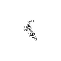 CCCCOC(=O)N(C)C1CCC(c2ccc(CCCO)cc2CNC)CC1